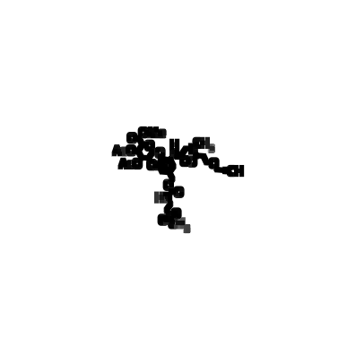 C#CCOCCC(=O)N(C)CC(=O)Nc1cc(COC(=O)NCCS(C)(=O)=O)ccc1O[C@H]1OC(C(=O)OC)[C@@H](OC(C)=O)C(OC(C)=O)C1OC(C)=O